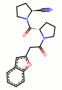 N#C[C@@H]1CCCN1C(=O)[C@@H]1CCCN1C(=O)Cc1cc2ccccc2o1